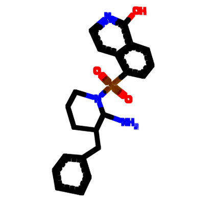 NC1C(Cc2ccccc2)CCCN1S(=O)(=O)c1cccc2c(O)nccc12